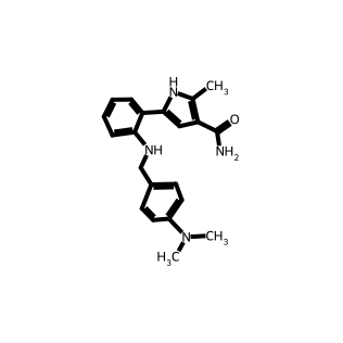 Cc1[nH]c(-c2ccccc2NCc2ccc(N(C)C)cc2)cc1C(N)=O